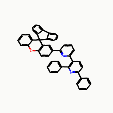 c1ccc(-c2ccc(-c3cccc(-c4ccc5c(c4)C4(c6ccccc6O5)c5ccccc5-c5ccccc54)n3)c(-c3ccccc3)n2)cc1